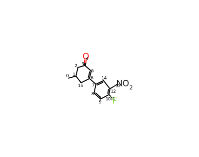 CC1CC(=O)C=C(c2ccc(F)c([N+](=O)[O-])c2)C1